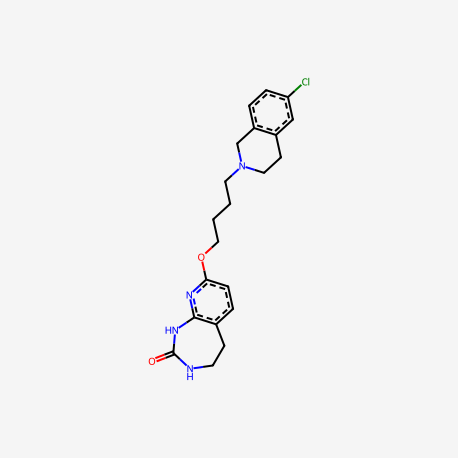 O=C1NCCc2ccc(OCCCCN3CCc4cc(Cl)ccc4C3)nc2N1